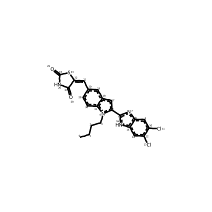 CCCCn1c(-c2nc3cc(Cl)c(Cl)cc3[nH]2)cc2cc(/C=C3/SC(=O)NC3=O)ccc21